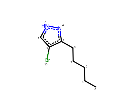 CCCCCc1n[nH]cc1Br